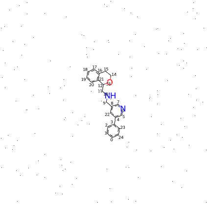 c1ccc(-c2cncc(CNCC3OCCc4ccccc43)c2)cc1